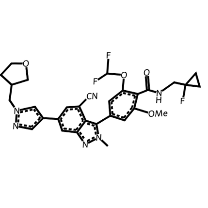 COc1cc(-c2c3c(C#N)cc(-c4cnn(CC5CCOC5)c4)cc3nn2C)cc(OC(F)F)c1C(=O)NCC1(F)CC1